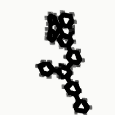 c1ccc(-c2ccc(-c3cc(-c4cccc(-c5ccc6c(c5)Oc5ccccc5C65c6ccccc6-c6ccccc65)c4)nc(-c4ccccc4)n3)cc2)cc1